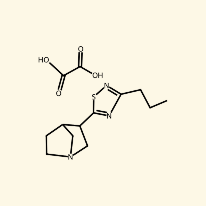 CCCc1nsc(C2CN3CCC2C3)n1.O=C(O)C(=O)O